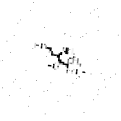 CC(C(=O)O)C(O)C(N)CCO